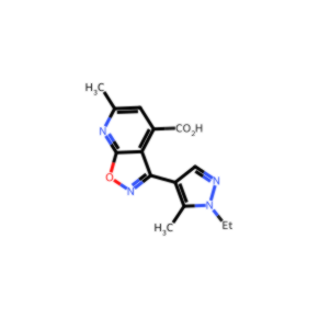 CCn1ncc(-c2noc3nc(C)cc(C(=O)O)c23)c1C